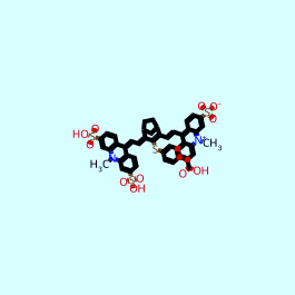 CN1c2cc(S(=O)(=O)O)ccc2C(=C/C=C2C(Sc3ccc(CC(=O)O)cc3)=C(/C=C/c3c4ccccc4[n+](C)c4cc(S(=O)(=O)[O-])ccc34)C3CCC/2C3)c2ccc(S(=O)(=O)O)cc21